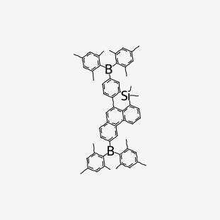 Cc1cc(C)c(B(c2ccc3c(c2)[Si](C)(C)c2cccc4c2c-3cc2ccc(B(c3c(C)cc(C)cc3C)c3c(C)cc(C)cc3C)cc24)c2c(C)cc(C)cc2C)c(C)c1